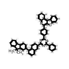 CC1(C)c2ccccc2-c2ccc(-c3cccc4cc(-c5nc(-c6ccccc6)nc(-c6ccc(-c7nc8c(c9c7oc7ccccc79)CCC=C8)cc6)n5)ccc34)cc21